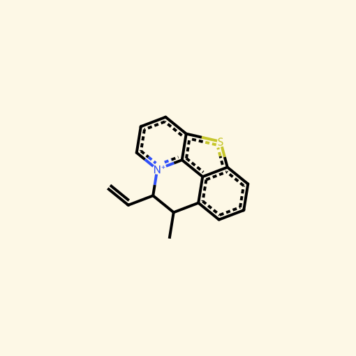 C=CC1C(C)c2cccc3sc4ccc[n+]1c4c23